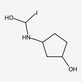 OC1CCC(NC(O)I)C1